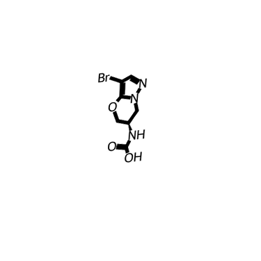 O=C(O)N[C@H]1COc2c(Br)cnn2C1